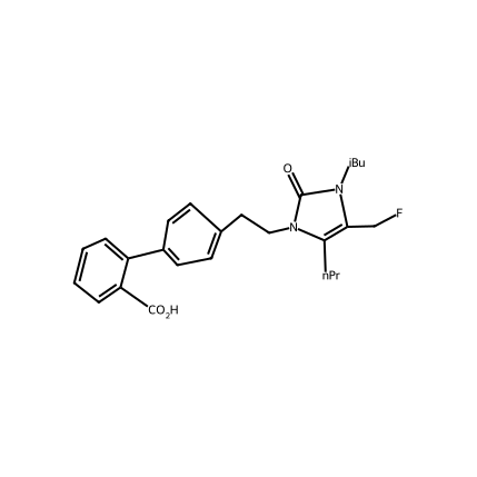 CCCc1c(CF)n(C(C)CC)c(=O)n1CCc1ccc(-c2ccccc2C(=O)O)cc1